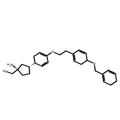 N[C@]1(CO)CC[C@@H](C2C=CC(OCCC3=CCC(OCC4=CCCC=C4)C=C3)=CC2)C1